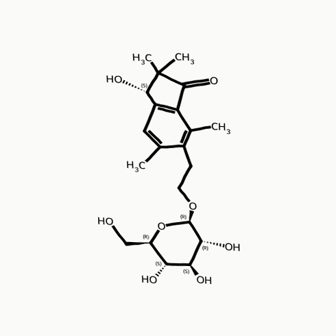 Cc1cc2c(c(C)c1CCO[C@@H]1O[C@H](CO)[C@@H](O)[C@H](O)[C@H]1O)C(=O)C(C)(C)[C@H]2O